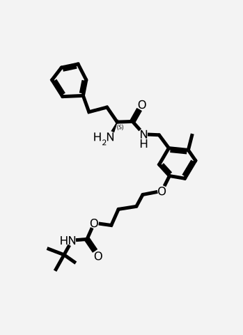 Cc1ccc(OCCCCOC(=O)NC(C)(C)C)cc1CNC(=O)[C@@H](N)CCc1ccccc1